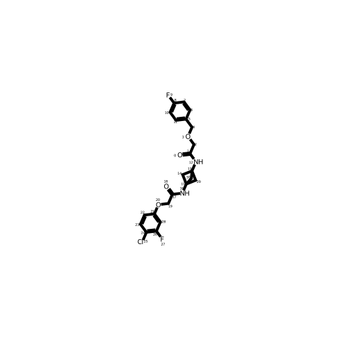 O=C(COCc1ccc(F)cc1)NC12CC(NC(=O)COc3ccc(Cl)c(F)c3)(C1)C2